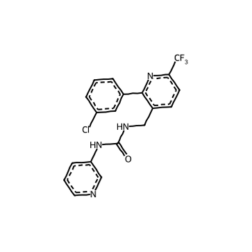 O=C(NCc1ccc(C(F)(F)F)nc1-c1cccc(Cl)c1)Nc1cccnc1